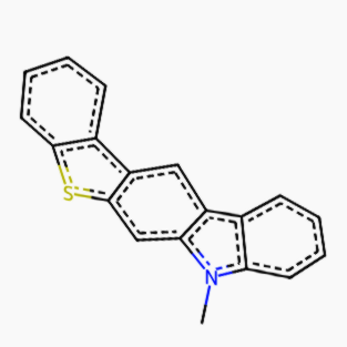 Cn1c2ccccc2c2cc3c(cc21)sc1ccccc13